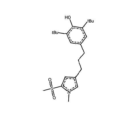 Cn1cc(CCCc2cc(C(C)(C)C)c(O)c(C(C)(C)C)c2)cc1S(C)(=O)=O